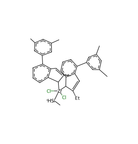 CCC1=Cc2c(-c3cc(C)cc(C)c3)cccc2[CH]1[Zr]([Cl])([Cl])([CH]1C(C)=Cc2c(-c3cc(C)cc(C)c3)cccc21)[SiH](C)C